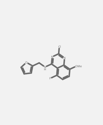 COc1ccc(F)c2c(NCc3ccco3)nc(Cl)nc12